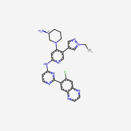 N[C@H]1CCCN(c2cc(Nc3ccnc(-c4cc5nccnc5cc4F)n3)ncc2-c2cnn(CC(F)(F)F)c2)C1